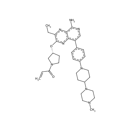 C=CC(=O)N1CC[C@@H](Oc2nc3c(-c4ccc(N5CCC(N6CCN(C)CC6)CC5)cc4)cnc(N)c3nc2CC)C1